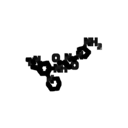 Cn1cc2cc(N3CCCCC3)c(NC(=O)c3coc(N4CC[C@H](N)C4)n3)cc2n1